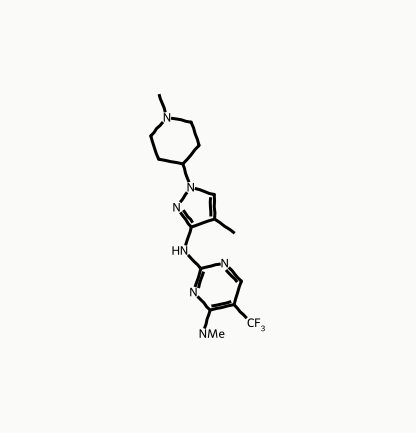 CNc1nc(Nc2nn(C3CCN(C)CC3)cc2C)ncc1C(F)(F)F